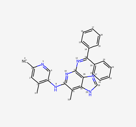 Cc1cc(C#N)ncc1Nc1nc(N=C(c2ccccc2)c2ccccc2)c2nc[nH]c2c1C